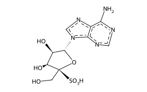 Nc1ncnc2c1ncn2[C@@H]1O[C@@](CO)(S(=O)(=O)O)[C@@H](O)[C@H]1O